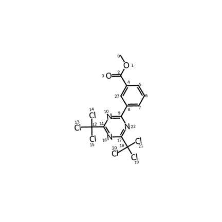 COC(=O)c1cccc(-c2nc(C(Cl)(Cl)Cl)nc(C(Cl)(Cl)Cl)n2)c1